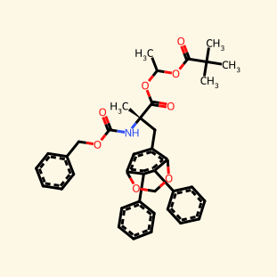 CC(OC(=O)C(C)(C)C)OC(=O)[C@](C)(Cc1cc2c(-c3ccccc3)c(-c3ccccc3)c1OCO2)NC(=O)OCc1ccccc1